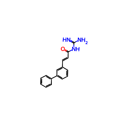 N=C(N)NC(=O)/C=C/c1cccc(-c2ccccc2)c1